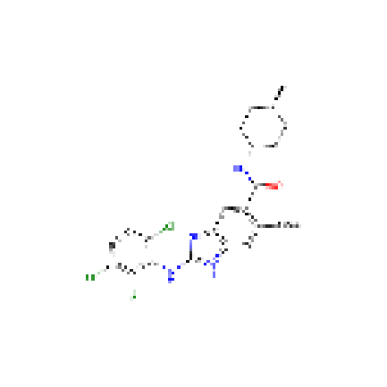 COc1cc2[nH]c(Nc3c(Cl)ccc(Cl)c3F)nc2cc1C(=O)N[C@H]1CC[C@H](C)CC1